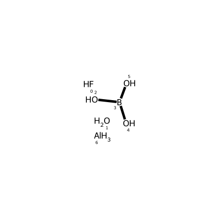 F.O.OB(O)O.[AlH3]